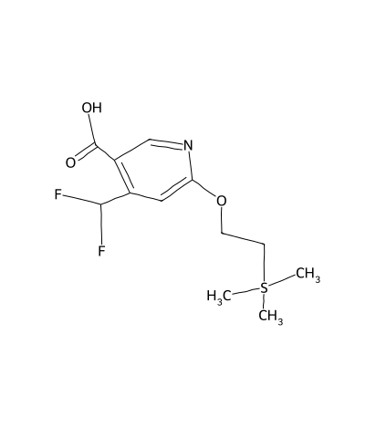 CS(C)(C)CCOc1cc(C(F)F)c(C(=O)O)cn1